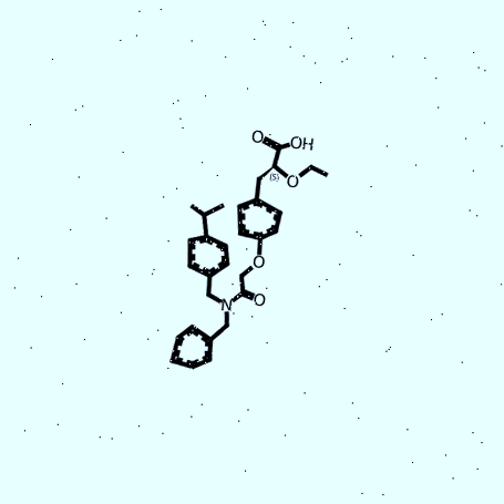 CCO[C@@H](Cc1ccc(OCC(=O)N(Cc2ccccc2)Cc2ccc(C(C)C)cc2)cc1)C(=O)O